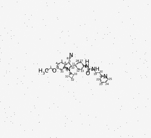 CCOc1ccc2c(C#N)c(-c3ccc(NC(=O)NCCc4ccccn4)cc3)n(C3CCC3)c2c1